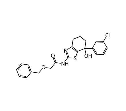 O=C(COCc1ccccc1)Nc1nc2c(s1)C(O)(c1cccc(Cl)c1)CCC2